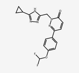 O=c1ccc(-c2ccc(OC(F)F)cc2)nn1Cc1nnc(C2CC2)[nH]1